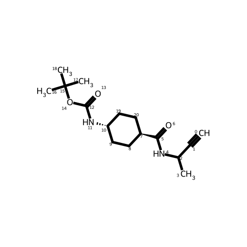 C#CC(C)NC(=O)[C@H]1CC[C@H](NC(=O)OC(C)(C)C)CC1